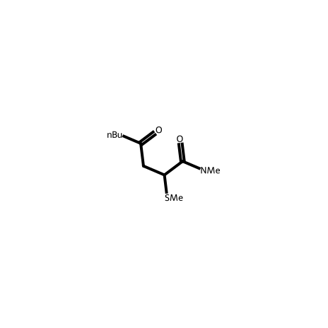 CCCCC(=O)CC(SC)C(=O)NC